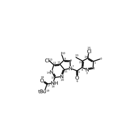 Cc1cnc(C(=O)n2cc(I)c3c(Cl)nc(NC(=O)C(C)(C)C)nc32)c(C)c1Cl